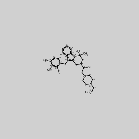 CC1(C)CN(C(=O)CN2CCN(CC(=O)O)CC2)Cc2c1c1cccnc1n2Cc1ccc(F)c(Cl)c1F